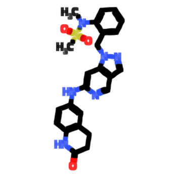 CN(c1ccccc1Cn1ncc2cnc(Nc3ccc4c(c3)CCC(=O)N4)cc21)S(C)(=O)=O